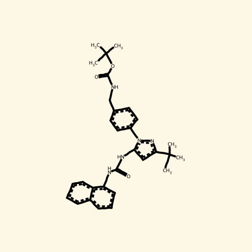 CC(C)(C)OC(=O)NCc1ccc(-n2nc(C(C)(C)C)cc2NC(=O)Nc2cccc3ccccc23)cc1